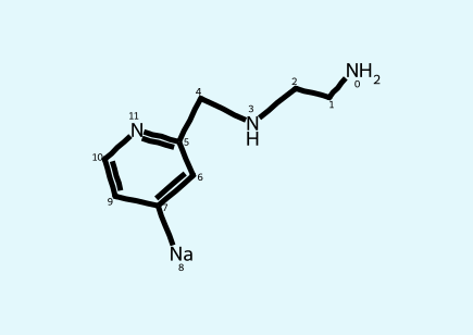 NCCNCc1c[c]([Na])ccn1